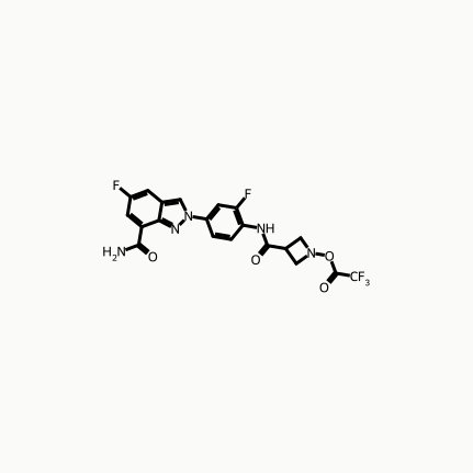 NC(=O)c1cc(F)cc2cn(-c3ccc(NC(=O)C4CN(OC(=O)C(F)(F)F)C4)c(F)c3)nc12